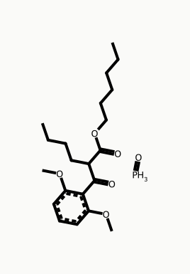 CCCCCCOC(=O)C(CCCC)C(=O)c1c(OC)cccc1OC.O=[PH3]